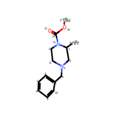 CCCC1CN(Cc2ccccc2)CCN1C(=O)OC(C)(C)C